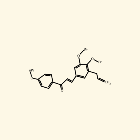 C=CCc1cc(C=CC(=O)c2ccc(OCCC)cc2)cc(OC(C)C)c1OC(C)C